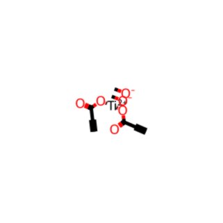 C#CC(=O)[O][Ti+2][O]C(=O)C#C.C[O-].C[O-]